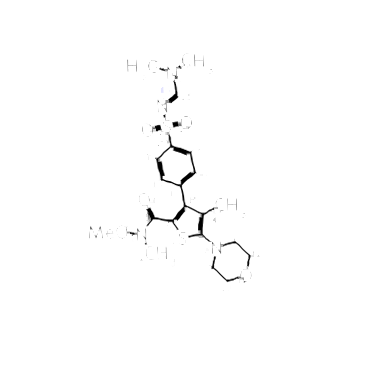 CON(C)C(=O)c1sc(N2CCOCC2)c(C)c1-c1ccc(S(=O)(=O)/N=C/N(C)C)cc1